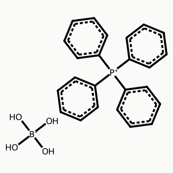 O[B-](O)(O)O.c1ccc([P+](c2ccccc2)(c2ccccc2)c2ccccc2)cc1